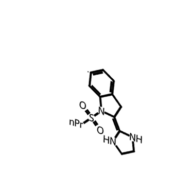 CCCS(=O)(=O)N1C(=C2NCCN2)Cc2cc[c]cc21